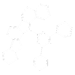 c1ccc(-c2nc(-c3ccccc3)nc(-n3c4c5ccncc5ccc4c4ccc5c6ccccc6sc5c43)n2)cc1